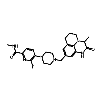 CNC(=O)c1ccc(N2CCN(Cc3cc4c5c(c3)NC(=O)C(C)N5CCC4)CC2)c(F)n1